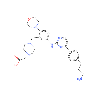 NCCCc1ccc(-c2ccnc(Nc3ccc(N4CCOCC4)c(CN4CCN(CC(=O)O)CC4)c3)n2)cc1